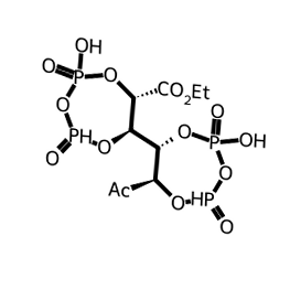 CCOC(=O)[C@H]1OP(=O)(O)O[PH](=O)O[C@@H]1[C@@H]1OP(=O)(O)O[PH](=O)O[C@H]1C(C)=O